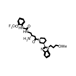 COCCCn1c([C@@H]2CCCN(C(=O)C[C@H](N)CNC(=O)Nc3ccccc3OC(F)(F)F)C2)nc2ccccc21